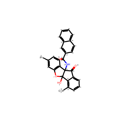 CC(C)c1ccc2c(c1)OC1(O)c3c(cccc3[N+](=O)[O-])C(=O)C21NC(=O)c1ccc2ccccc2c1